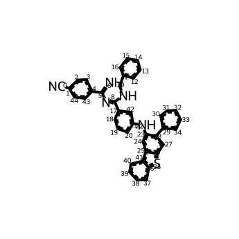 N#Cc1ccc(C(=N)/N=C(\NCc2ccccc2)c2cccc(Nc3cc4c(cc3-c3ccccc3)sc3ccccc34)c2)cc1